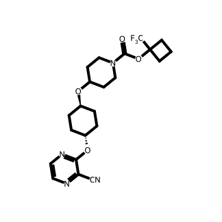 N#Cc1nccnc1O[C@H]1CC[C@H](OC2CCN(C(=O)OC3(C(F)(F)F)CCC3)CC2)CC1